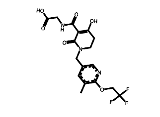 Cc1cc(CN2CCC(O)=C(C(=O)NCC(=O)O)C2=O)cnc1OCC(F)(F)F